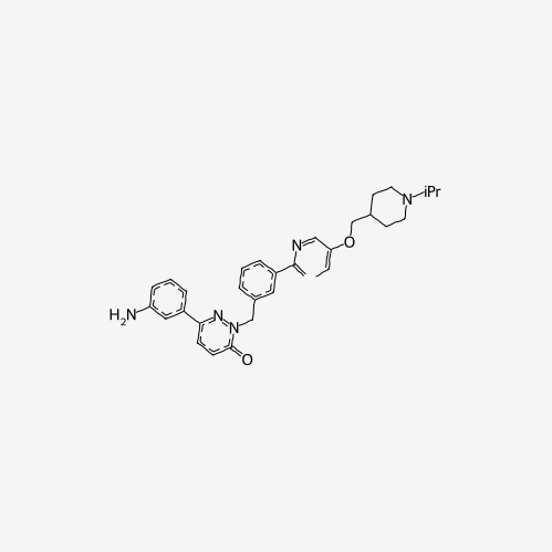 C=C(/N=C\C(=C/C)OCC1CCN(C(C)C)CC1)c1cccc(Cn2nc(-c3cccc(N)c3)ccc2=O)c1